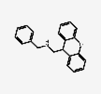 c1ccc(CNCC2c3ccccc3Oc3ccccc32)cc1